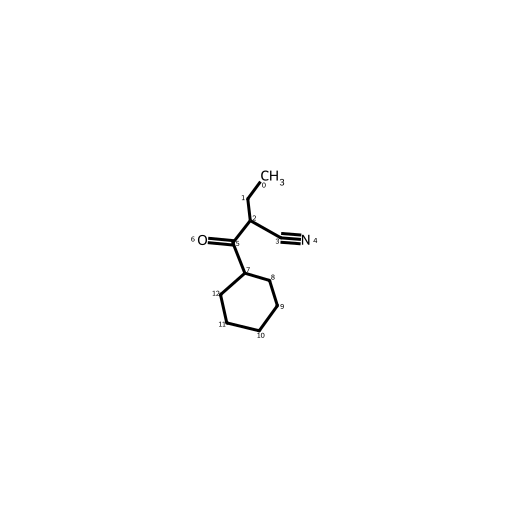 CCC(C#N)C(=O)C1CCCCC1